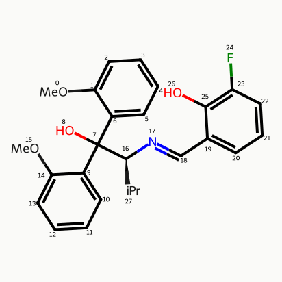 COc1ccccc1C(O)(c1ccccc1OC)[C@@H](N=Cc1cccc(F)c1O)C(C)C